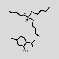 CC1CCC(C(C)C)C(O)C1.CCCCOP(=O)(OCCCC)OCCCC